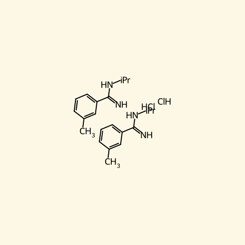 Cc1cccc(C(=N)NC(C)C)c1.Cc1cccc(C(=N)NC(C)C)c1.Cl.Cl